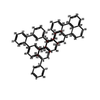 c1ccc(-c2ccc(N(c3ccc(-c4cccc5cccc(-c6ccccc6)c45)cc3)c3cccc(-c4ccccc4-c4cccc(-c5ccccc5)c4)c3)cc2)cc1